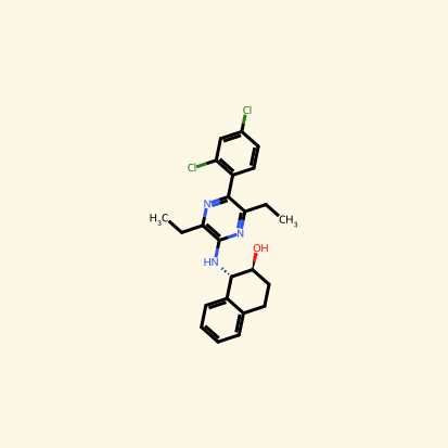 CCc1nc(-c2ccc(Cl)cc2Cl)c(CC)nc1N[C@H]1c2ccccc2CC[C@@H]1O